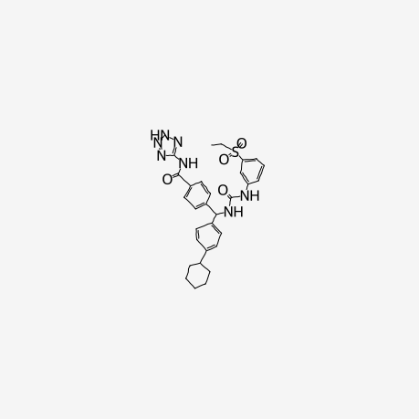 CCS(=O)(=O)c1cccc(NC(=O)NC(c2ccc(C(=O)Nc3nn[nH]n3)cc2)c2ccc(C3CCCCC3)cc2)c1